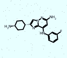 Nc1cc(Nc2cccc(F)c2)c2nc([C@H]3CC[C@H](N)CC3)cn2n1